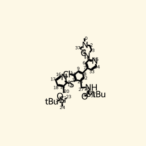 CN1CCN(c2cc(-c3cc(Cl)c(Sc4ncccc4CO[Si](C)(C)C(C)(C)C)c(CN[S+]([O-])C(C)(C)C)c3)ccn2)CC1